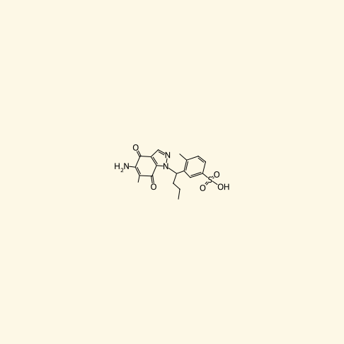 CCCC(c1cc(S(=O)(=O)O)ccc1C)n1ncc2c1C(=O)C(C)=C(N)C2=O